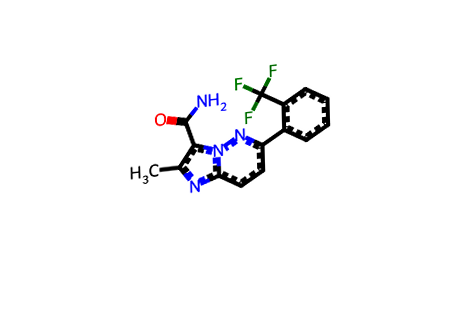 Cc1nc2ccc(-c3ccccc3C(F)(F)F)nn2c1C(N)=O